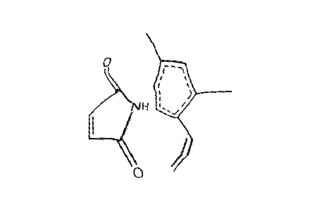 C=Cc1ccc(C)cc1C.O=C1C=CC(=O)N1